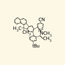 C/C=C1/c2cc(C(C)(C)C)ccc2-c2cc3c(cc2-c2cc(C#N)cc[n+]2N1C)-c1ccc2ccccc2c1C3(C)C